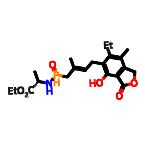 CCOC(=O)[C@H](C)N[PH](=O)C/C(C)=C/Cc1c(O)c2c(c(C)c1CC)COC2=O